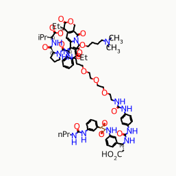 CCCNC(=O)Nc1cccc(S(=O)(=O)Nc2cccc([C@@H](CC(=O)O)NC(=O)Nc3ccc(NC(=O)NCCOCCOCCOCCC(=O)N[C@@H](CC(=O)OCCCCN(C)C)C(=O)N4CCC[C@H]4C(=O)N[C@H](C(=O)O[C@]4(CC)C(=O)OCc5c4cc4n(c5=O)Cc5c-4nc4ccccc4c5CC)C(C)C)cc3)c2)c1